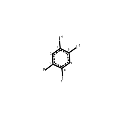 [CH2]c1cc(I)c(I)cc1I